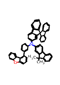 CC1(C)c2ccccc2-c2ccc(N(c3cccc(-c4cccc5oc6ccccc6c45)c3)c3ccc4c(c3)C3(c5ccccc5-c5ccccc53)c3ccccc3-4)cc21